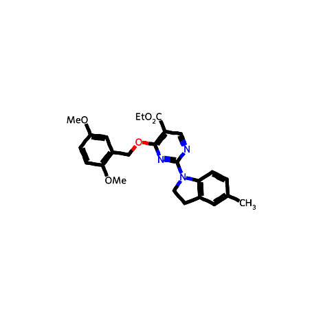 CCOC(=O)c1cnc(N2CCc3cc(C)ccc32)nc1OCc1cc(OC)ccc1OC